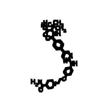 CC(C)(C)C(NC(=O)c1ccc(-c2cnc(Nc3ccc(OCCN4CCC(C(N)=O)CC4)cc3)nc2)cc1)C(=O)O